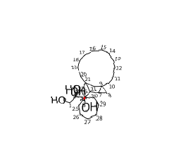 OCC(O)C(O)C1C2CC23CCCCCCCCCCCC1(C(O)C1CCCCCC1)C3